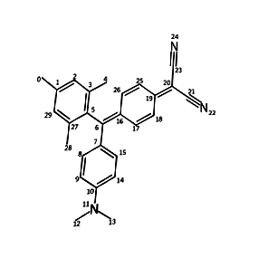 Cc1cc(C)c(C(c2ccc(N(C)C)cc2)=c2ccc(=C(C#N)C#N)cc2)c(C)c1